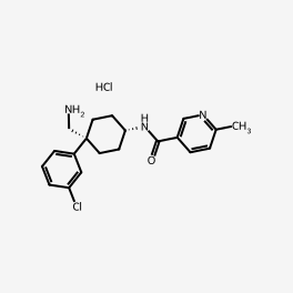 Cc1ccc(C(=O)N[C@H]2CC[C@](CN)(c3cccc(Cl)c3)CC2)cn1.Cl